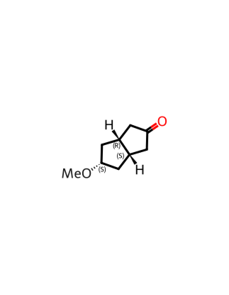 CO[C@H]1C[C@H]2CC(=O)C[C@H]2C1